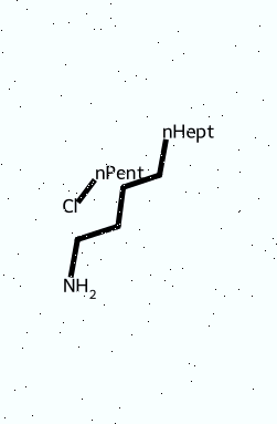 CCCCCCCCCCCN.CCCCCCl